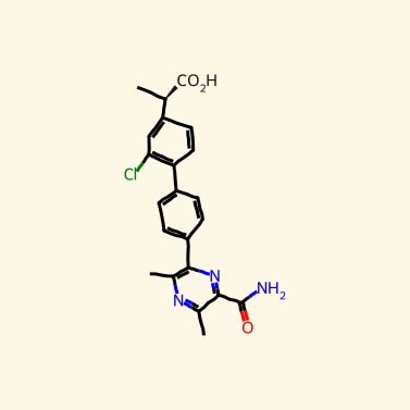 Cc1nc(C)c(-c2ccc(-c3ccc([C@@H](C)C(=O)O)cc3Cl)cc2)nc1C(N)=O